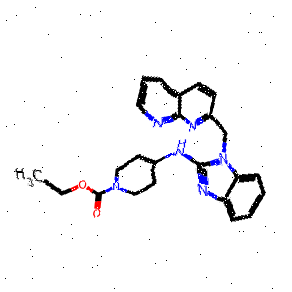 CCOC(=O)N1CCC(Nc2nc3ccccc3n2Cc2ccc3cccnc3n2)CC1